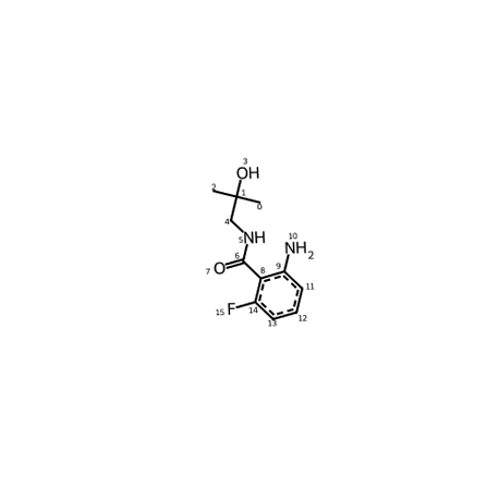 CC(C)(O)CNC(=O)c1c(N)cccc1F